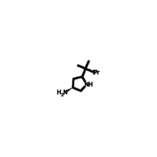 CC(C)C(C)(C)C1C[C@@H](N)CN1